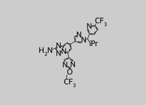 CC(C)C(c1ccc(C(F)(F)F)nc1)n1cc(-c2cc(-c3cnc(OCC(F)(F)F)nc3)n3nc(N)nc3c2)cn1